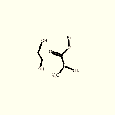 CCOC(=O)N(C)C.OCCO